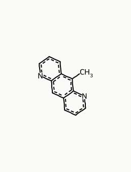 Cc1c2cccnc2cc2cccnc12